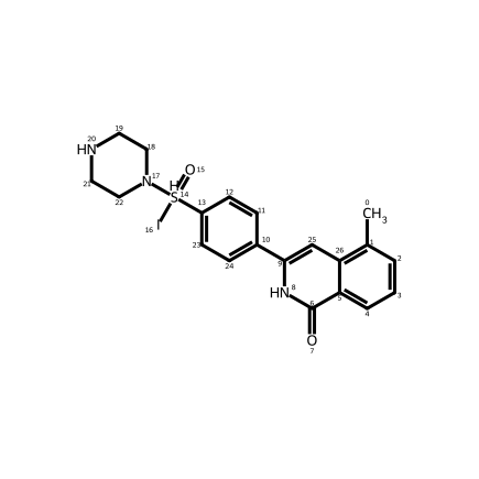 Cc1cccc2c(=O)[nH]c(-c3ccc([SH](=O)(I)N4CCNCC4)cc3)cc12